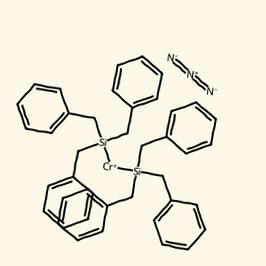 [N-]=[N+]=[N-].c1ccc(C[Si](Cc2ccccc2)(Cc2ccccc2)[Cr+][Si](Cc2ccccc2)(Cc2ccccc2)Cc2ccccc2)cc1